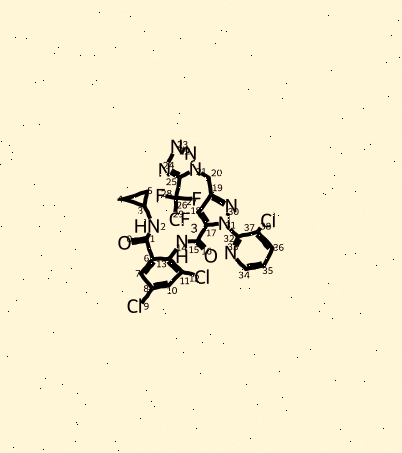 O=C(NC1CC1)c1cc(Cl)cc(Cl)c1NC(=O)c1cc(Cn2nnnc2C(F)(F)C(F)(F)F)nn1-c1ncccc1Cl